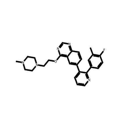 Cc1cc(-c2ncccc2-c2ccc3ncnc(OCCN4CCN(C)CC4)c3c2)ccc1F